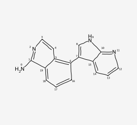 Nc1nccc2c(-c3c[nH]c4ncccc34)cccc12